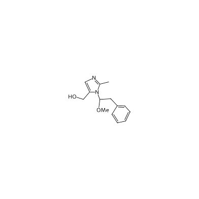 COC(Cc1ccccc1)n1c(CO)cnc1C